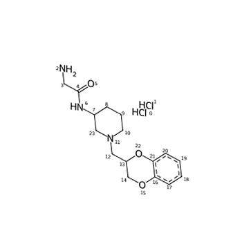 Cl.Cl.NCC(=O)NC1CCCN(CC2COc3ccccc3O2)C1